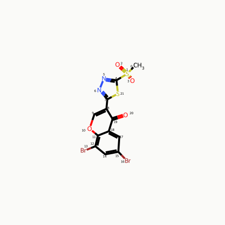 CS(=O)(=O)c1nnc(-c2coc3c(Br)cc(Br)cc3c2=O)s1